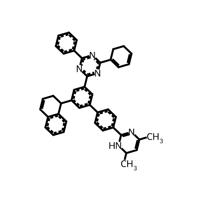 CC1=CC(C)NC(c2ccc(-c3cc(-c4nc(C5=CC=CCC5)nc(-c5ccccc5)n4)cc(C4CC=Cc5ccccc54)c3)cc2)=N1